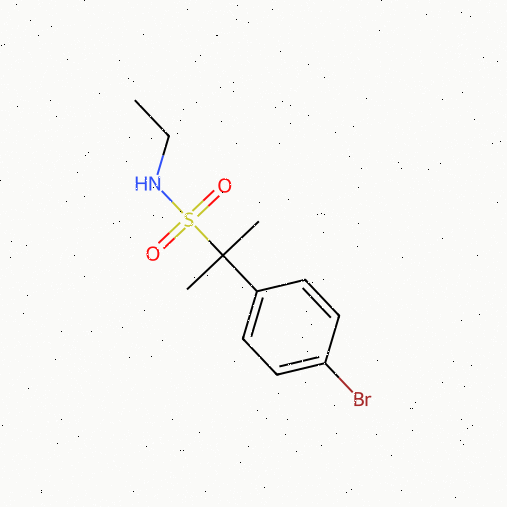 CCNS(=O)(=O)C(C)(C)c1ccc(Br)cc1